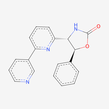 O=C1N[C@@H](c2cccc(-c3cccnc3)n2)[C@H](c2ccccc2)O1